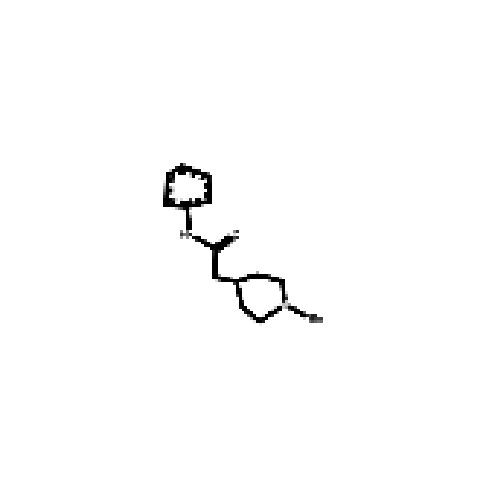 CC(C)(C)N1CCC(CC(=O)Nc2ccccc2)CC1